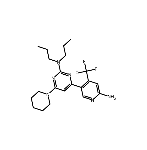 CCCN(CCC)c1nc(-c2cnc(N)cc2C(F)(F)F)cc(N2CCCCC2)n1